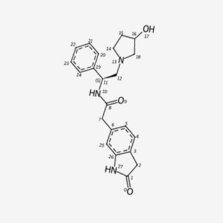 O=C1Cc2ccc(CC(=O)N[C@H](CN3CCC(O)C3)c3ccccc3)cc2N1